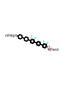 CCCCCCCC1CCC(C2CCC(c3ccc(-c4ccc(-c5ccc(OCCCCC)c(F)c5F)cc4)c(F)c3F)CC2)CC1